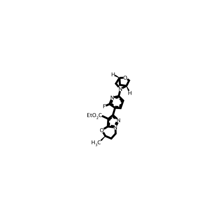 CCOC(=O)c1c(-c2ccc(N3C[C@H]4C[C@@H]3CO4)nc2F)nn2c1O[C@H](C)CC2